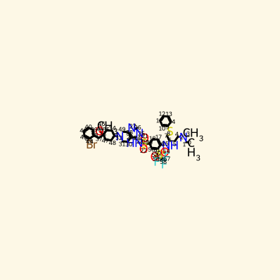 CCN(C)CC[C@H](CSc1ccccc1)NC1=CCC(S(=O)(=O)Nc2ncnc3c2CCN(C2CCC(Cc4ccccc4Br)(OC)CC2)C3)C=C1S(=O)(=O)C(F)(F)F